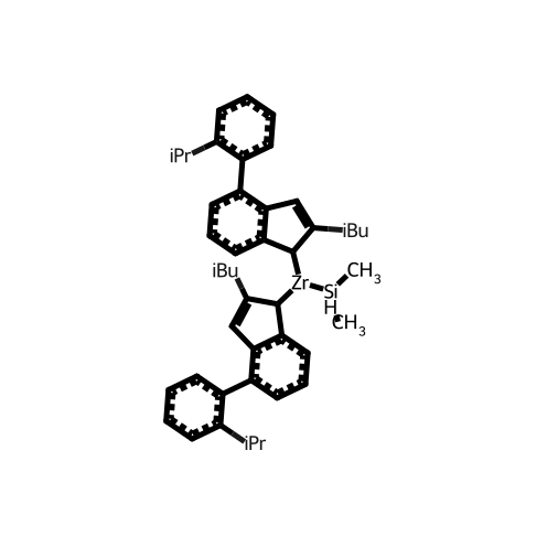 CCC(C)C1=Cc2c(-c3ccccc3C(C)C)cccc2[CH]1[Zr]([CH]1C(C(C)CC)=Cc2c(-c3ccccc3C(C)C)cccc21)[SiH](C)C